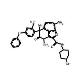 Cc1cc(Oc2ccccc2)ccc1C1(N)C(=O)C(N)c2c(C(=O)NC3CCC(O)CC3)sc3c(N)ccc1c23